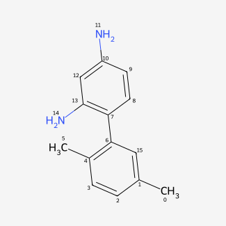 Cc1ccc(C)c(-c2ccc(N)cc2N)c1